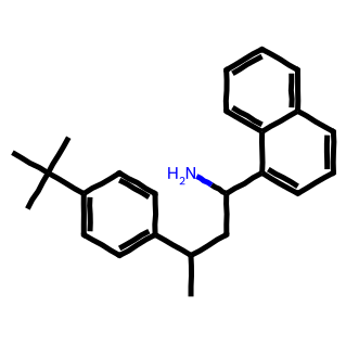 CC(CC(N)c1cccc2ccccc12)c1ccc(C(C)(C)C)cc1